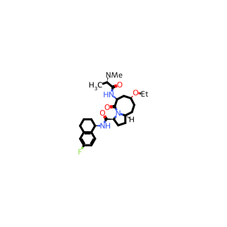 CCO[C@@H]1CC[C@H]2CC[C@@H](C(=O)N[C@@H]3CCCc4cc(F)ccc43)N2C(=O)[C@@H](NC(=O)[C@H](C)NC)C1